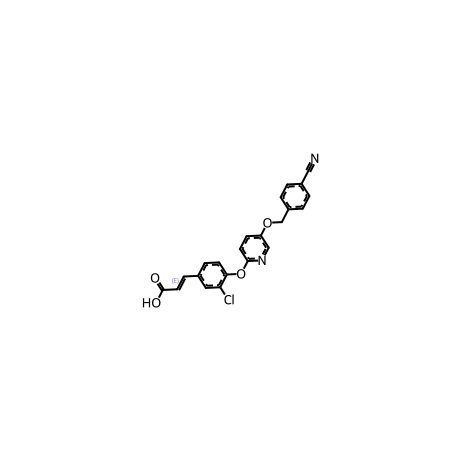 N#Cc1ccc(COc2ccc(Oc3ccc(/C=C/C(=O)O)cc3Cl)nc2)cc1